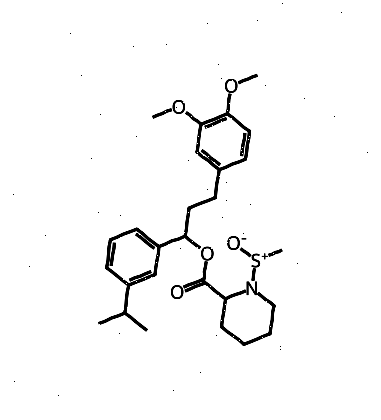 COc1ccc(CCC(OC(=O)C2CCCCN2[S+](C)[O-])c2cccc(C(C)C)c2)cc1OC